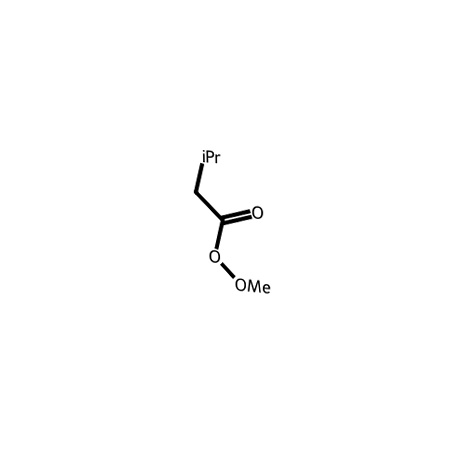 COOC(=O)CC(C)C